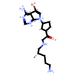 C[C@@H](CCCN)CNCC(=O)C1CCC(n2cc(Br)c3c(N)ncnc32)C1